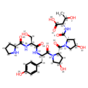 C[C@@H](O)[C@H](NC(=O)[C@@H]1C[C@@H](O)CN1C(=O)[C@@H]1C[C@@H](O)CN1C(=O)[C@H](Cc1ccc(O)cc1)NC(=O)[C@H](CO)NC(=O)[C@@H]1CCCN1)C(=O)O